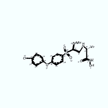 CNC(CN[C@@H](C(=O)NO)C(C)C)S(=O)(=O)c1ccc(Oc2ccc(Cl)cc2)cc1